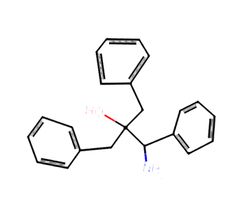 NC(c1ccccc1)C(O)(Cc1ccccc1)Cc1ccccc1